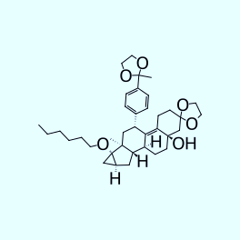 CCCCCCO[C@@]12C[C@@H]1C[C@H]1[C@@H]3CC[C@@]4(O)CC5(CCC4=C3[C@@H](c3ccc(C4(C)OCCO4)cc3)C[C@@]12C)OCCO5